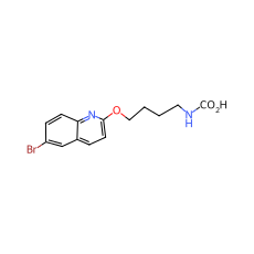 O=C(O)NCCCCOc1ccc2cc(Br)ccc2n1